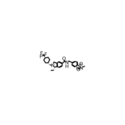 CC[C@H]1c2ccc(C(=O)NCc3ccc(S(=O)(=O)NC)cc3)cc2CN1C[C@H]1CC[C@H](C(F)(F)F)CC1